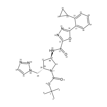 CC(C)(C)OC(=O)N1C[C@H](NC(=O)c2nnc(-c3ccccc3C3CC3)o2)C[C@H]1Cn1ccnn1